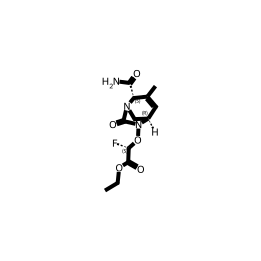 CCOC(=O)[C@H](F)ON1C(=O)N2C[C@H]1C=C(C)[C@H]2C(N)=O